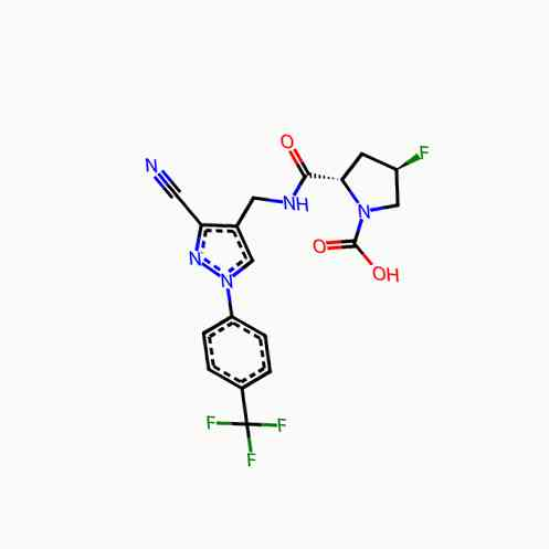 N#Cc1nn(-c2ccc(C(F)(F)F)cc2)cc1CNC(=O)[C@@H]1C[C@@H](F)CN1C(=O)O